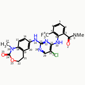 CNC(=O)c1cccc(C(F)(F)F)c1Nc1nc(Nc2ccc3c(c2)CCOC(=O)N3C)ncc1Cl